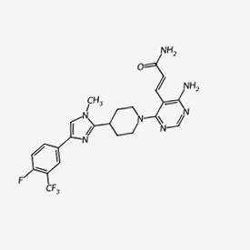 Cn1cc(-c2ccc(F)c(C(F)(F)F)c2)nc1C1CCN(c2ncnc(N)c2/C=C/C(N)=O)CC1